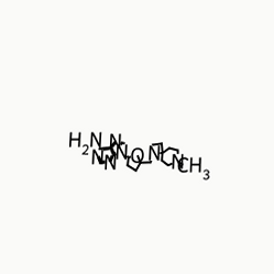 CN1CCC2(CC1)CCN2CC1CCC(n2cnc3c(N)ncnc32)O1